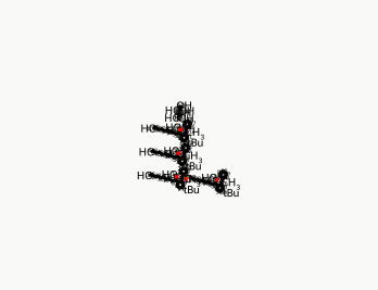 CC(C)(C)c1ccc(C(CO)CCCCCCCCO)c(C(C)(C)c2ccccc2)c1.CC(C)(C)c1ccc(C(CO)CCCCCCCCO)c(C(C)(C)c2ccccc2)c1.CC(C)(C)c1ccc(C(CO)CCCCCCCCO)c(C(C)(C)c2ccccc2)c1.CC(C)(C)c1ccc(C(CO)CCCCCCCCO)c(C(C)(C)c2ccccc2)c1.OP(O)O.OP(O)O